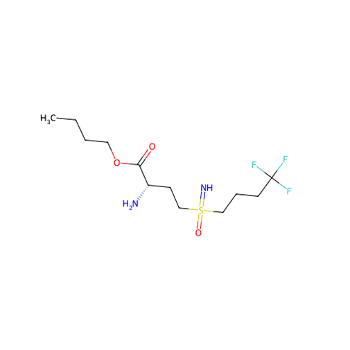 CCCCOC(=O)[C@@H](N)CCS(=N)(=O)CCCC(F)(F)F